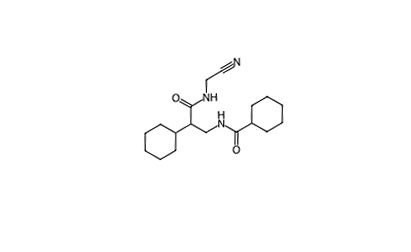 N#CCNC(=O)C(CNC(=O)C1CCCCC1)C1CCCCC1